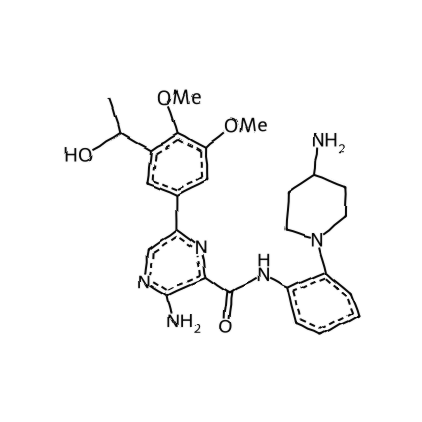 COc1cc(-c2cnc(N)c(C(=O)Nc3ccccc3N3CCC(N)CC3)n2)cc(C(C)O)c1OC